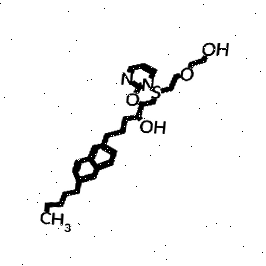 CCCCCc1ccc2cc(CCCC(O)C(CSCCOCCO)Oc3ncccn3)ccc2c1